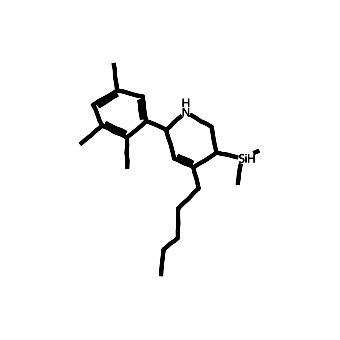 CCCCCC1=CC(c2cc(C)cc(C)c2C)NCC1[SiH](C)C